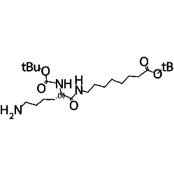 CC(C)(C)OC(=O)CCCCCCCNC(=O)[C@H](CCCCN)NC(=O)OC(C)(C)C